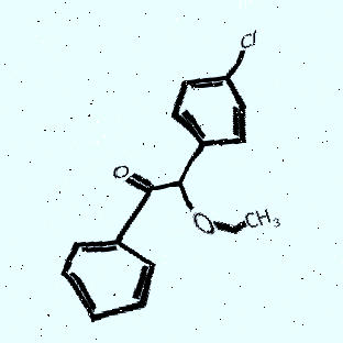 COC(C(=O)c1ccccc1)c1ccc(Cl)cc1